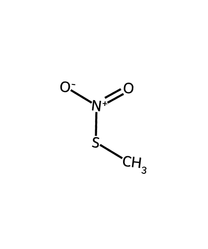 CS[N+](=O)[O-]